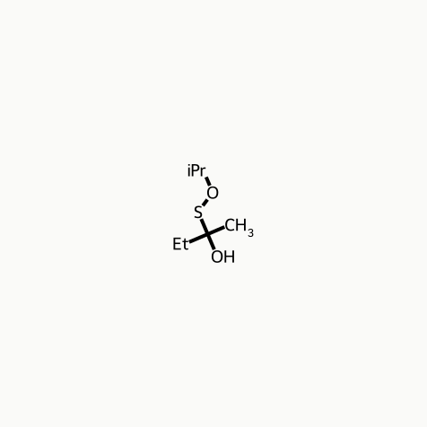 CCC(C)(O)SOC(C)C